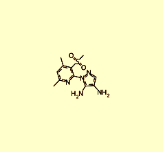 Cc1cc(C)c(S(C)(=O)=O)c(-n2ncc(N)c2N)n1